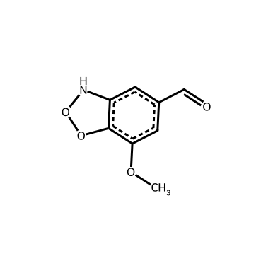 COc1cc(C=O)cc2c1OON2